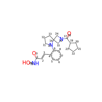 O=C(/C=C/c1ccccc1N1CCCC12CN(C(=O)C1CCCC1)C2)NO